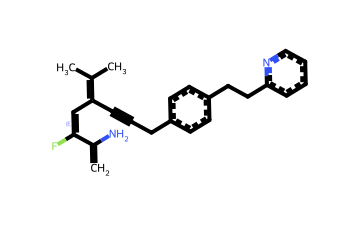 C=C(N)/C(F)=C\C(C#CCc1ccc(CCc2ccccn2)cc1)=C(C)C